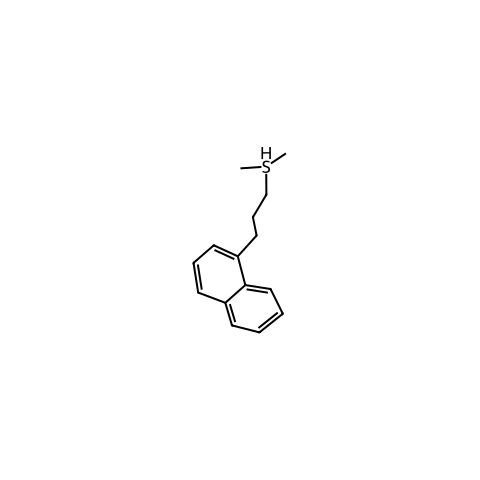 C[SH](C)CCCc1cccc2ccccc12